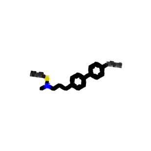 CCCCCc1ccc(-c2ccc(CCCN(C)SOC)cc2)cc1